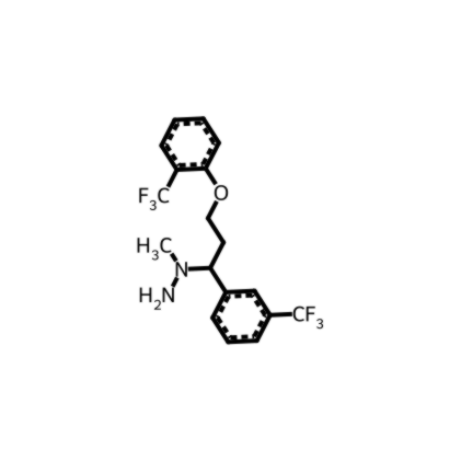 CN(N)C(CCOc1ccccc1C(F)(F)F)c1cccc(C(F)(F)F)c1